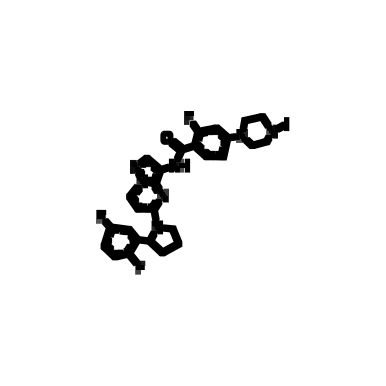 O=C(Nc1cnn2ccc(N3CCCC3c3cc(F)ccc3F)nc12)c1ccc(N2CCN(I)CC2)cc1F